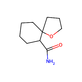 NC(=O)C1CCCCC12CCCO2